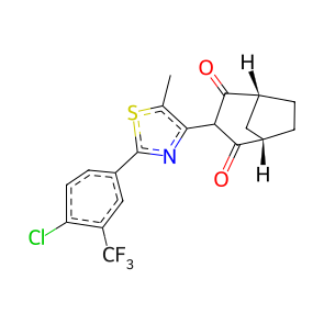 Cc1sc(-c2ccc(Cl)c(C(F)(F)F)c2)nc1C1C(=O)[C@@H]2CC[C@@H](C2)C1=O